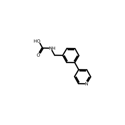 O=C(O)NCc1cccc(-c2ccncc2)c1